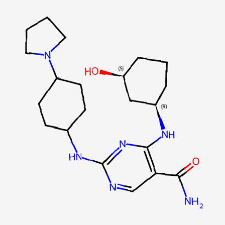 NC(=O)c1cnc(NC2CCC(N3CCCC3)CC2)nc1N[C@@H]1CCC[C@H](O)C1